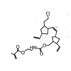 C=CC1CC(/C=C\C2CC(C=C)C(COC(=O)NCCOC(=O)C(=C)C)C2)C(CCCl)C1